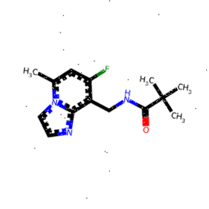 Cc1cc(F)c(CNC(=O)C(C)(C)C)c2nccn12